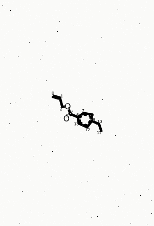 C=CCOC(=O)c1ccc(CC)cc1